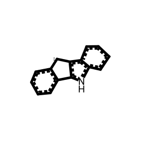 [C]1c2ccccc2-c2[nH]c3ccccc3c21